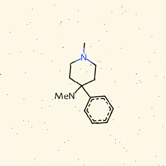 CNC1(c2ccccc2)CCN(C)CC1